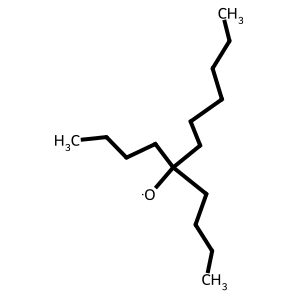 CCCCCCC([O])(CCCC)CCCC